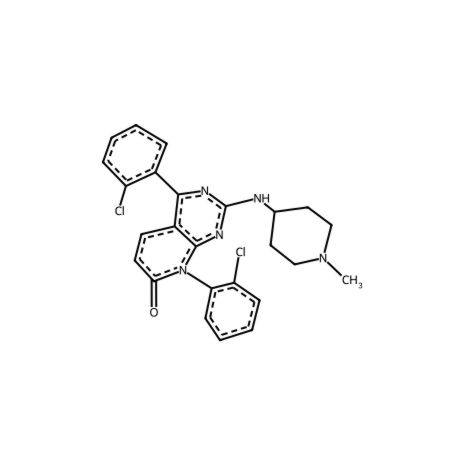 CN1CCC(Nc2nc(-c3ccccc3Cl)c3ccc(=O)n(-c4ccccc4Cl)c3n2)CC1